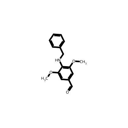 COc1cc(C=O)cc(OC)c1NCc1ccccc1